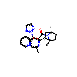 Cc1ccc(-n2nccn2)c(C(=O)N2[C@H]3CC[C@@H]2[C@@H](COc2ccccn2)C3)n1